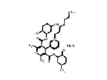 Br.CCCCCCCCCCCCCCCC[n+]1cccc(C2C(C(=O)OC3CC(C)CCC3C(C)C)=C(C)NC(C)=C2C(=O)OC2CC(C)CCC2C(C)C)c1.[Br-]